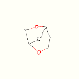 [CH]1OC2CCOC1CC2